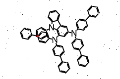 c1ccc(-c2ccc(N(c3ccc(-c4ccccc4)cc3)c3cc(N(c4ccc(-c5ccccc5)cc4)c4ccc(-c5ccccc5)cc4)c4c(c3)c3ccccc3n4-c3ccccc3)cc2)cc1